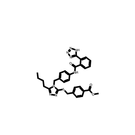 CCCCc1nnc(SCc2ccc(C(=O)OC)cc2)n1Cc1ccc(NC(=O)c2ccccc2-c2nnn[nH]2)cc1